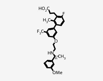 COc1cccc([C@@H](C)NCCOc2cc(-c3ccc(F)c(CCC(=O)O)c3C)cc(C(F)(F)F)c2)c1